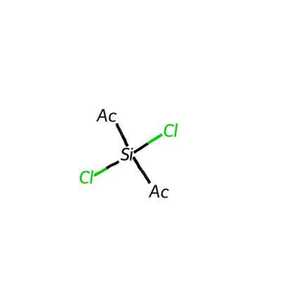 CC(=O)[Si](Cl)(Cl)C(C)=O